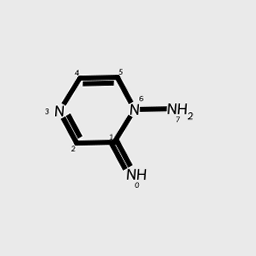 N=c1cnccn1N